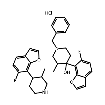 CC1CN(Cc2ccccc2)CCC1(O)c1c(F)ccc2ccoc12.CC1CNCCC1c1c(F)ccc2ccoc12.Cl